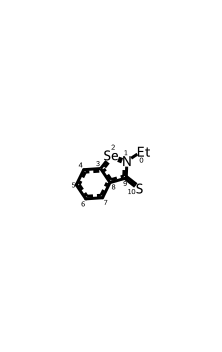 CCn1[se]c2ccccc2c1=S